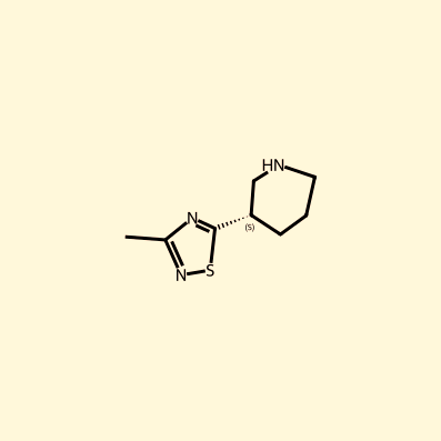 Cc1nsc([C@H]2CCCNC2)n1